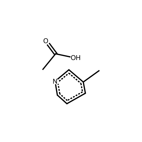 CC(=O)O.Cc1cccnc1